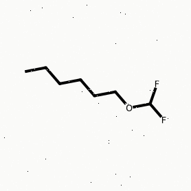 CCCCCCO[C](F)F